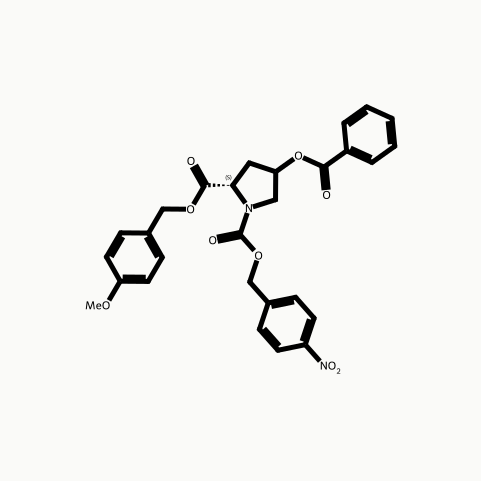 COc1ccc(COC(=O)[C@@H]2CC(OC(=O)c3ccccc3)CN2C(=O)OCc2ccc([N+](=O)[O-])cc2)cc1